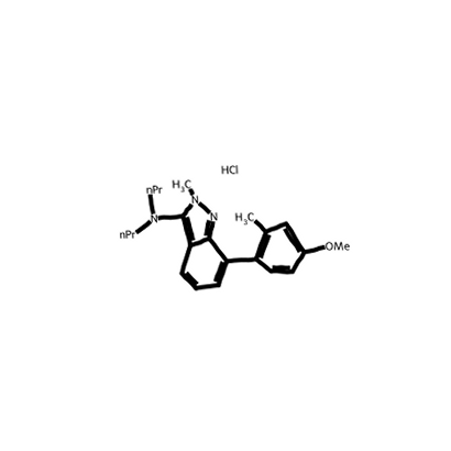 CCCN(CCC)c1c2cccc(-c3ccc(OC)cc3C)c2nn1C.Cl